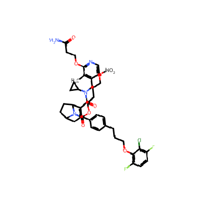 Cc1c(CN(C(=O)C2=C(c3ccc(CCCOc4c(F)ccc(F)c4Cl)cc3)CC3CCC2N3C(=O)OCCCCO[N+](=O)[O-])C2CC2)ccnc1OCCC(N)=O